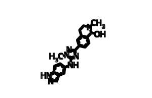 CN1CCc2cc(-c3nc(Nc4ccc5[nH]ncc5c4)n(C)n3)ccc2C1O